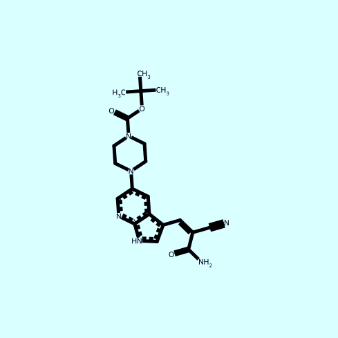 CC(C)(C)OC(=O)N1CCN(c2cnc3[nH]cc(C=C(C#N)C(N)=O)c3c2)CC1